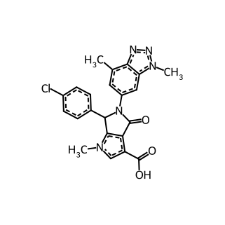 Cc1cc(N2C(=O)c3c(C(=O)O)cn(C)c3C2c2ccc(Cl)cc2)cc2c1nnn2C